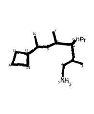 CCCC(C(C)CN)C(C)CC(C)C1CCC1